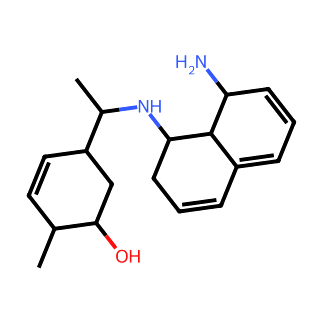 CC1C=CC(C(C)NC2CC=CC3=CC=CC(N)C32)CC1O